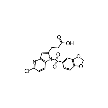 O=C(O)CCc1cc2nc(Cl)ccc2n1S(=O)(=O)c1ccc2c(c1)OCO2